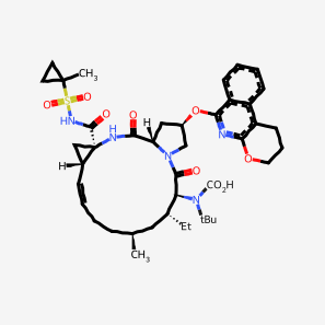 CC[C@@H]1C[C@@H](C)CC/C=C\[C@@H]2C[C@@]2(C(=O)NS(=O)(=O)C2(C)CC2)NC(=O)[C@@H]2C[C@@H](Oc3nc4c(c5ccccc35)CCCO4)CN2C(=O)[C@H]1N(C(=O)O)C(C)(C)C